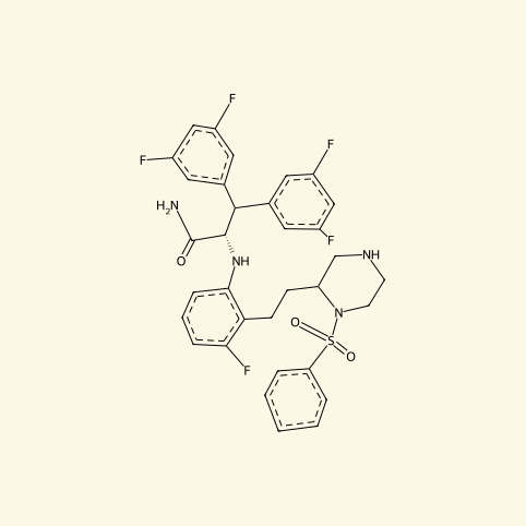 NC(=O)[C@@H](Nc1cccc(F)c1CCC1CNCCN1S(=O)(=O)c1ccccc1)C(c1cc(F)cc(F)c1)c1cc(F)cc(F)c1